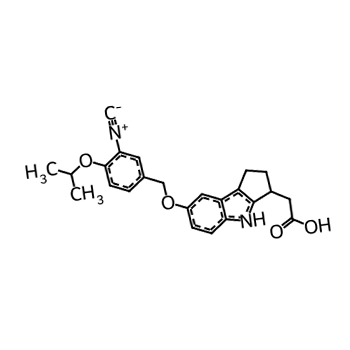 [C-]#[N+]c1cc(COc2ccc3[nH]c4c(c3c2)CCC4CC(=O)O)ccc1OC(C)C